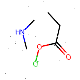 CCC(=O)OCl.CNC